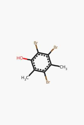 Cc1c(O)c(Br)c(Br)c(C)c1Br